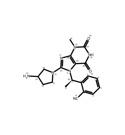 C[C@H](c1ccccc1C#N)n1c(N2CCC(N)C2)nc2c1c(=O)[nH]c(=O)n2C